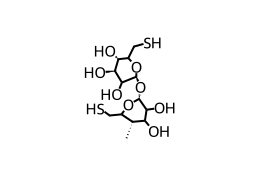 C[C@@H]1C(CS)O[C@H](O[C@@H]2OC(CS)[C@@H](O)[C@H](O)C2O)C(O)C1O